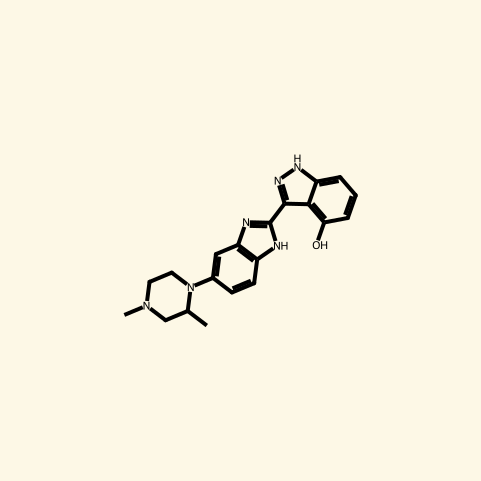 CC1CN(C)CCN1c1ccc2[nH]c(-c3n[nH]c4cccc(O)c34)nc2c1